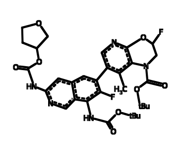 Cc1c(-c2cc3cc(NC(=O)OC4CCOC4)ncc3c(NC(=O)OC(C)(C)C)c2F)cnc2c1N(C(=O)OC(C)(C)C)CC(F)O2